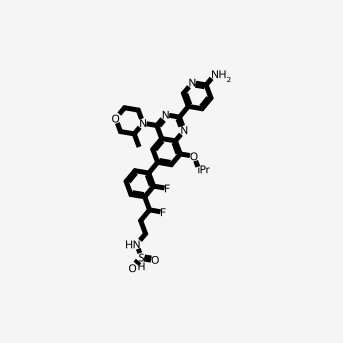 CC(C)Oc1cc(-c2cccc(C(F)CCN[SH](=O)=O)c2F)cc2c(N3CCOCC3C)nc(-c3ccc(N)nc3)nc12